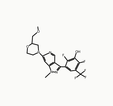 COCC1CN(c2cc3c(cn2)c(-c2cc(C(F)(F)F)c(F)c(O)c2F)nn3C)CCO1